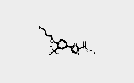 CNc1nc(-c2ccc(OCCCF)c(C(F)(F)F)c2)cs1